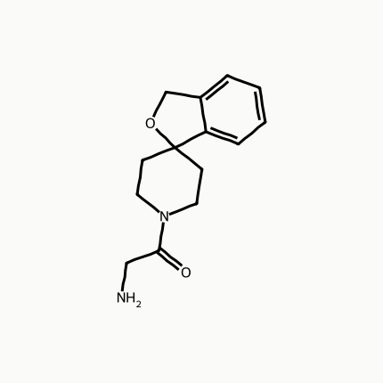 NCC(=O)N1CCC2(CC1)OCc1ccccc12